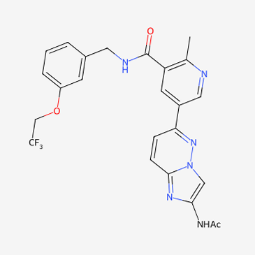 CC(=O)Nc1cn2nc(-c3cnc(C)c(C(=O)NCc4cccc(OCC(F)(F)F)c4)c3)ccc2n1